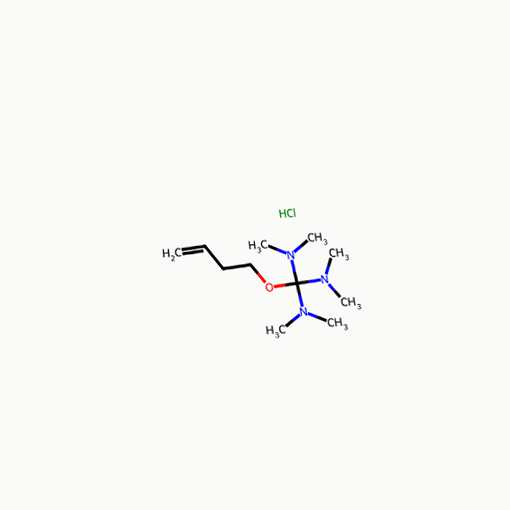 C=CCCOC(N(C)C)(N(C)C)N(C)C.Cl